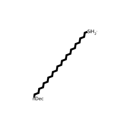 CCCCCCCCCCCCCCCCCCCCCCCCCCCCCCCCC[SiH2]